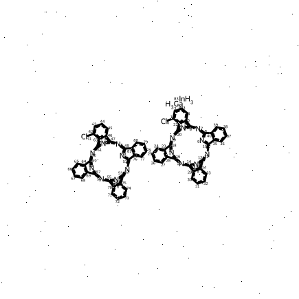 Clc1cccc2c3nc4nc(nc5[nH]c(nc6nc(nc([nH]3)c12)-c1ccccc1-6)c1ccccc51)-c1ccccc1-4.Clc1cccc2c3nc4nc(nc5[nH]c(nc6nc(nc([nH]3)c12)-c1ccccc1-6)c1ccccc51)-c1ccccc1-4.[GaH3].[InH3]